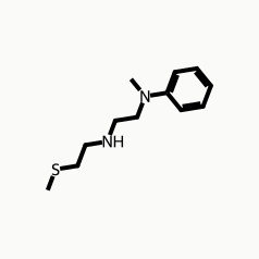 CSCCNCCN(C)c1ccccc1